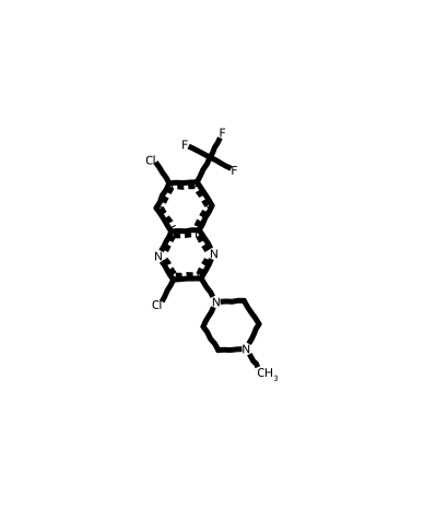 CN1CCN(c2nc3cc(C(F)(F)F)c(Cl)cc3nc2Cl)CC1